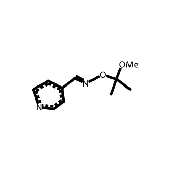 COC(C)(C)ON=Cc1ccncc1